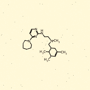 CC1=CC(C)C(C)C(CN(C)CCNc2nccc(N3CCCCCC3)n2)C1